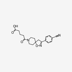 N#Cc1ccc(C2=NOC3(CCN(C(=O)CCCC(=O)O)CC3)C2)cc1